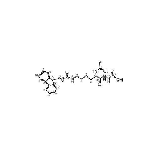 CC(=O)NC(CCCCNC(=O)OCC1c2ccccc2-c2ccccc21)C(=O)NNC(=O)O